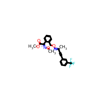 CO/N=C(/C(=O)OC)c1ccccc1CO/N=C(\C)C#Cc1cccc(C(F)(F)F)c1